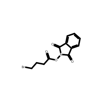 O=C(CCCBr)ON1C(=O)c2ccccc2C1=O